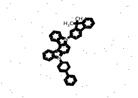 CC1(C)c2ccccc2-c2ccc(-n3c4ccccc4c4c5c6ccccc6n(C6=CC=C(c7ccccc7)CC6)c5ccc43)cc21